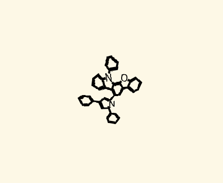 c1ccc(-c2cc(-c3ccccc3)nc(-c3cc4c5ccccc5oc4c4c3c3ccccc3n4-c3ccccc3)c2)cc1